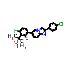 CC(C)(O)c1c(F)ccc(-c2ccc3nc(-c4ccc(Cl)cc4)cn3c2)c1F